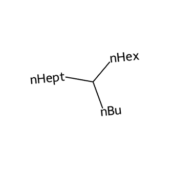 CCCCCCCC(CCCC)CCCCCC